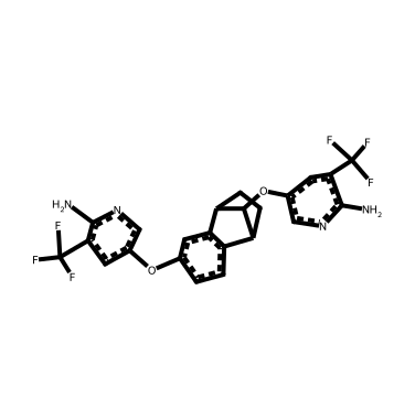 Nc1ncc(Oc2ccc3c(c2)C2CCC3C2Oc2cnc(N)c(C(F)(F)F)c2)cc1C(F)(F)F